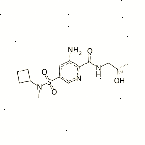 C[C@H](O)CNC(=O)c1ncc(S(=O)(=O)N(C)C2CCC2)cc1N